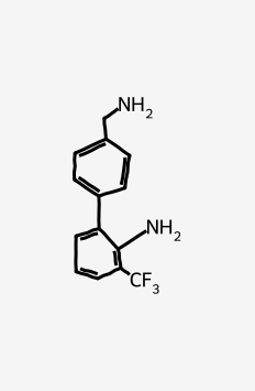 NCc1ccc(-c2cccc(C(F)(F)F)c2N)cc1